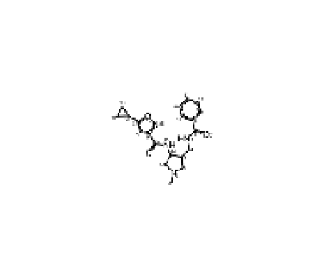 CN1CC(CNC(=O)c2ccccc2)C(NC(=O)c2cc(C3CC3)on2)C1